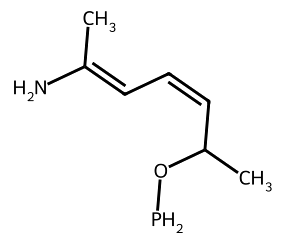 C/C(N)=C\C=C/C(C)OP